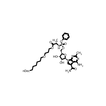 CCCCCCCCCCCCCCCCOCCCOC(=O)[C@H](C)NP(=O)(OC[C@H]1O[C@@H](n2cc(C(N)=O)c3c(N)nc(C)nc32)[C@H](O)[C@@H]1O)Oc1ccccc1